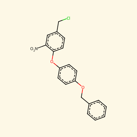 O=[N+]([O-])c1cc(CCl)ccc1Oc1ccc(OCc2ccccc2)cc1